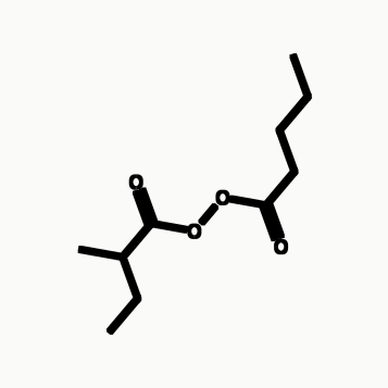 CCCCC(=O)OOC(=O)C(C)CC